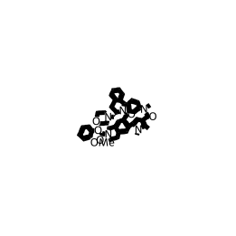 COc1ccccc1OC(=O)N1CCc2cc(-c3cc(C(=O)N(C)c4ccccc4)c(C)n3C)c(C(=O)N3Cc4ccccc4C[C@H]3CN3CCOCC3)cc2C1